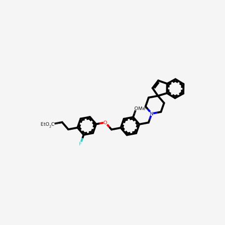 CCOC(=O)CCc1ccc(OCc2ccc(CN3CCC4(C=Cc5ccccc54)CC3)c(OC)c2)cc1F